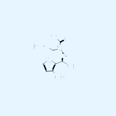 CCN(/N=C(/C)c1sccc1C)C(=O)O